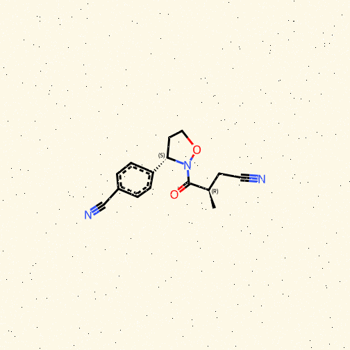 C[C@H](CC#N)C(=O)N1OCC[C@H]1c1ccc(C#N)cc1